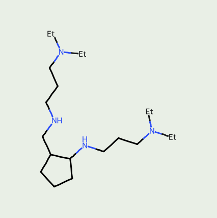 CCN(CC)CCCNCC1CCCC1NCCCN(CC)CC